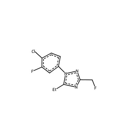 CCc1nc(CF)nn1-c1ccc(Cl)c(F)c1